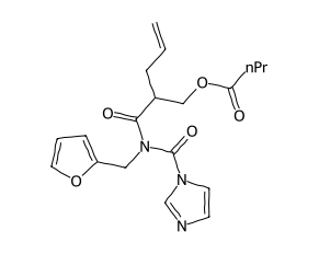 C=CCC(COC(=O)CCC)C(=O)N(Cc1ccco1)C(=O)n1ccnc1